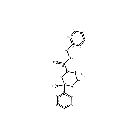 Cl.NC1(c2ccccc2)CCCN(C(=O)OCc2ccccc2)C1